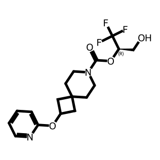 O=C(O[C@H](CO)C(F)(F)F)N1CCC2(CC1)CC(Oc1ccccn1)C2